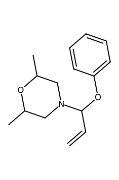 C=CC(Oc1ccccc1)N1CC(C)OC(C)C1